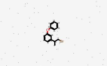 CC(CBr)c1cccc(Oc2ccccc2)c1